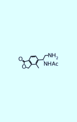 CC(=O)N[C@@H](CN)c1ccc2c(c1C)COC2=O